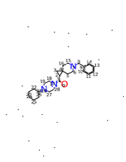 O=C(C1CC12CCN(Cc1ccccc1)CC2)N1CCN(C2CCCCC2)CC1